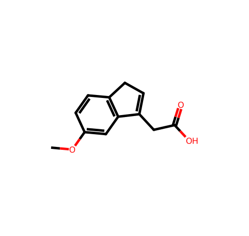 COc1ccc2c(c1)C(CC(=O)O)=CC2